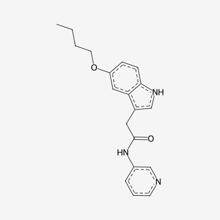 CCCCOc1ccc2[nH]cc(CC(=O)Nc3cccnc3)c2c1